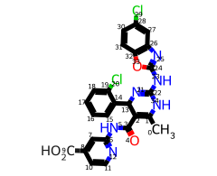 CC1=C(C(=O)Nc2cc(C(=O)O)ccn2)C(c2ccccc2Cl)N=C(Nc2nc3cc(Cl)ccc3o2)N1